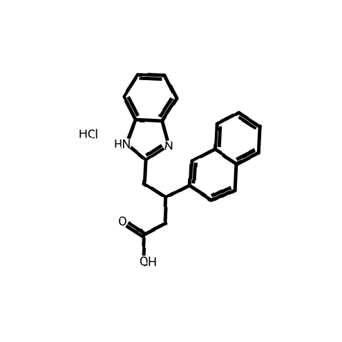 Cl.O=C(O)CC(Cc1nc2ccccc2[nH]1)c1ccc2ccccc2c1